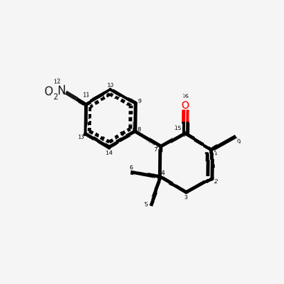 CC1=CCC(C)(C)C(c2ccc([N+](=O)[O-])cc2)C1=O